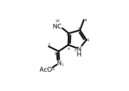 CC(=O)ON=C(C)c1[nH]cc(C)c1C#N